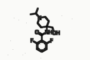 CC(C)N1CCC(CO)(NC(=O)c2c(F)cccc2F)CC1